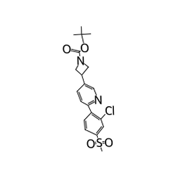 CC(C)(C)OC(=O)N1CC(c2ccc(-c3ccc(S(C)(=O)=O)cc3Cl)nc2)C1